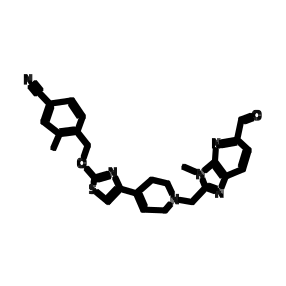 Cc1cc(C#N)ccc1COc1nc(C2=CCN(Cc3nc4ccc(C=O)nc4n3C)CC2)cs1